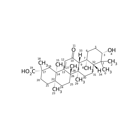 CC1(C)[C@@H](O)CC[C@]2(C)[C@H]3C(=O)C=C4[C@]5(C)C[C@@](C)(C(=O)O)CC[C@]5(C)CC[C@@]4(C)[C@]3(C)CC[C@@H]12